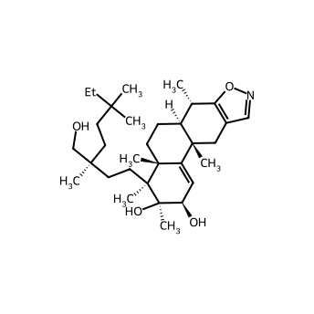 CCC(C)(C)CC[C@](C)(CO)CC[C@@]1(C)[C@]2(C)CC[C@H]3[C@H](C)c4oncc4C[C@]3(C)C2=C[C@@H](O)[C@@]1(C)O